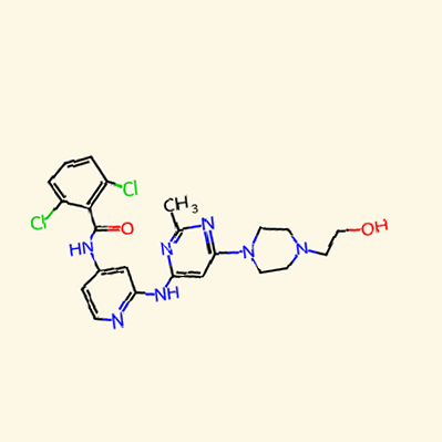 Cc1nc(Nc2cc(NC(=O)c3c(Cl)cccc3Cl)ccn2)cc(N2CCN(CCO)CC2)n1